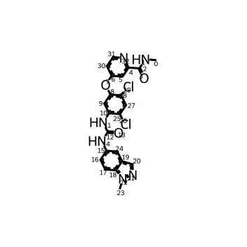 CNC(=O)c1cc(Oc2cc(NC(=O)Nc3ccc4c(cnn4C)c3)c(Cl)cc2Cl)ccn1